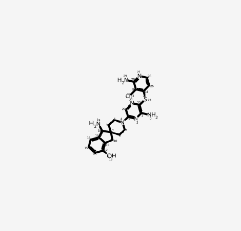 Nc1nc(N2CCC3(CC2)Cc2c(O)cccc2C3N)cnc1Sc1ccnc(N)c1Cl